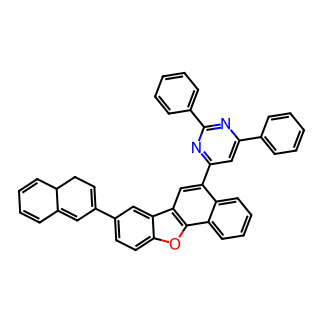 C1=CC2=CC(c3ccc4oc5c6ccccc6c(-c6cc(-c7ccccc7)nc(-c7ccccc7)n6)cc5c4c3)=CCC2C=C1